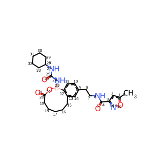 Cc1cc(C(=O)NCCc2ccc3c(c2)CCCCCC(=O)OB3NC(=O)NC2CCCCC2)no1